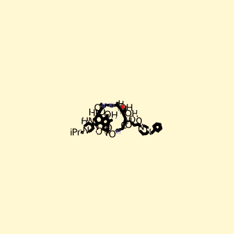 C/C1=C/C=C/C(C)[C@H](O)[C@@H](C)C(O)C[C@H](OC(=O)CC(=O)N2CCCN(Cc3ccccc3)CC2)CC/C=C/O[C@@]2(C)Oc3c(C)c(O)c4c(c3C2=O)C2=NC3(CCN(CC(C)C)CC3)NC2=C(NC1=O)C4=O